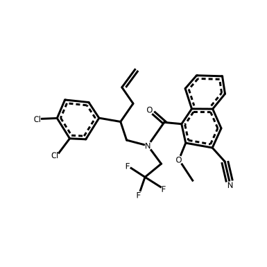 C=CCC(CN(CC(F)(F)F)C(=O)c1c(OC)c(C#N)cc2ccccc12)c1ccc(Cl)c(Cl)c1